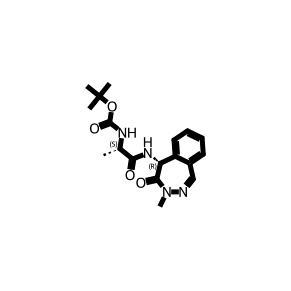 C[C@H](NC(=O)OC(C)(C)C)C(=O)N[C@H]1C(=O)N(C)N=Cc2ccccc21